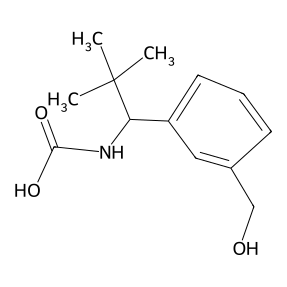 CC(C)(C)C(NC(=O)O)c1cccc(CO)c1